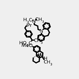 CC(C)Cc1ccc(C(C)C(=O)O)cc1.CN(C)CCCN1c2ccccc2CCc2ccccc21.COc1ccc2c(c1)[C@]13CCCC[C@@H]1[C@H](C2)N(C)CC3